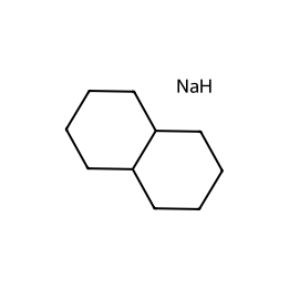 C1CCC2CCCCC2C1.[NaH]